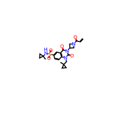 C=CC(=O)N1CC(n2c(=O)c3cc(S(=O)(=O)NC4(C)CC4)ccc3n(CC3(C)CC3)c2=O)C1